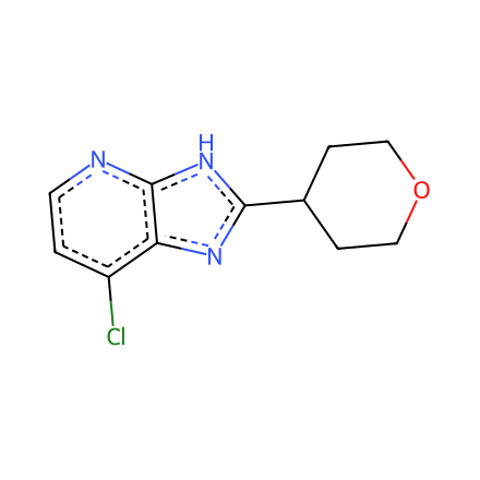 Clc1ccnc2[nH]c(C3CCOCC3)nc12